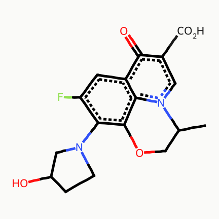 CC1COc2c(N3CCC(O)C3)c(F)cc3c(=O)c(C(=O)O)cn1c23